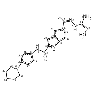 C/C(=N/N/C(N)=N\O)c1ccc2[nH]c(C(=O)Nc3ccc(N4CCCCC4)cc3)cc2c1